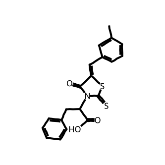 Cc1cccc(/C=C2\SC(=S)N(C(Cc3ccccc3)C(=O)O)C2=O)c1